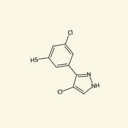 Sc1cc(Cl)cc(-c2n[nH]cc2Cl)c1